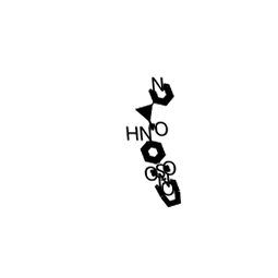 O=C(Nc1ccc(S(=O)(=O)N2CC3CCC(C2)O3)cc1)[C@H]1C[C@@H]1c1cccnc1